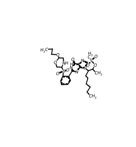 CCCCCCC(C(C)OS(C)(=O)=O)n1cnc2c(=O)[nH]c(-c3ccccc3S(=O)(=O)C3COC(OCCC)CN3)nc21